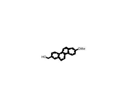 COc1ccc2c(ccc3c4ccc(CO)cc4ccc23)c1